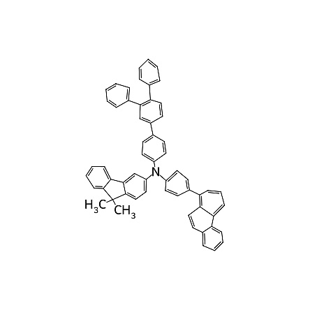 CC1(C)c2ccccc2-c2cc(N(c3ccc(-c4ccc(-c5ccccc5)c(-c5ccccc5)c4)cc3)c3ccc(-c4cccc5c4ccc4ccccc45)cc3)ccc21